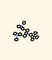 c1ccc(-n2c3ccccc3c3ccc(-c4cccc5c(-c6ccc7c(c6)-c6ccccc6C7(c6ccccc6)c6ccccc6)c6cccc(-c7ccc8c9ccccc9n(-c9ccccc9)c8c7)c6cc45)cc32)cc1